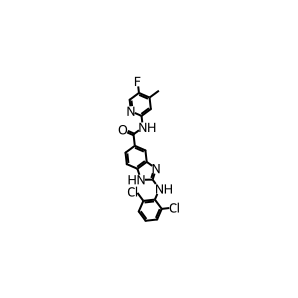 Cc1cc(NC(=O)c2ccc3[nH]c(Nc4c(Cl)cccc4Cl)nc3c2)ncc1F